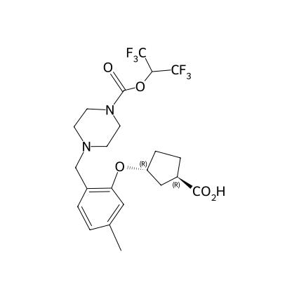 Cc1ccc(CN2CCN(C(=O)OC(C(F)(F)F)C(F)(F)F)CC2)c(O[C@@H]2CC[C@@H](C(=O)O)C2)c1